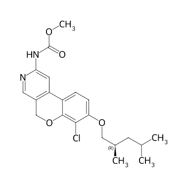 COC(=O)Nc1cc2c(cn1)COc1c-2ccc(OC[C@H](C)CC(C)C)c1Cl